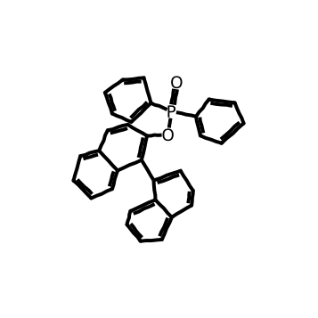 O=P(Oc1ccc2ccccc2c1-c1cccc2ccccc12)(c1ccccc1)c1ccccc1